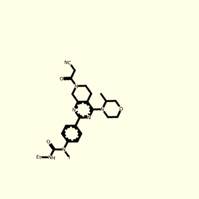 CCNC(=O)N(I)c1ccc(-c2nc3c(c(N4CCOCC4C)n2)CCN(C(=O)CC#N)C3)cc1